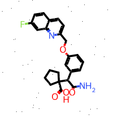 NC(=O)C(c1cccc(OCc2ccc3ccc(F)cc3n2)c1)C1(C(=O)O)CCCC1